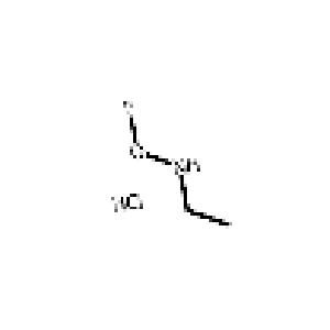 CCNOF.Cl